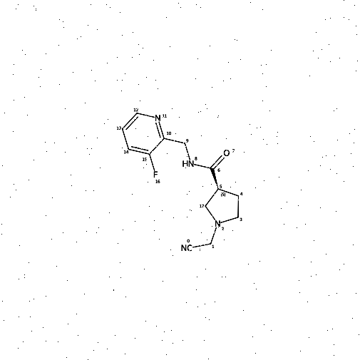 N#CCN1CC[C@H](C(=O)NCc2ncccc2F)C1